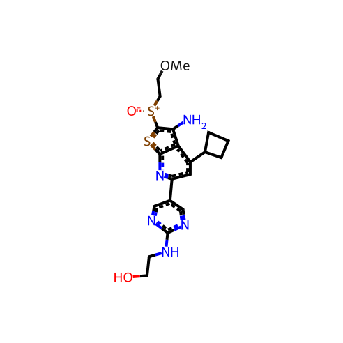 COCC[S@@+]([O-])c1sc2nc(-c3cnc(NCCO)nc3)cc(C3CCC3)c2c1N